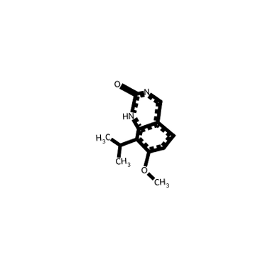 COc1ccc2cnc(=O)[nH]c2c1C(C)C